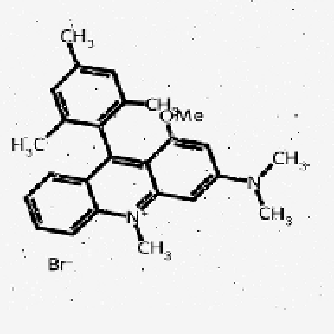 COc1cc(N(C)C)cc2c1c(-c1c(C)cc(C)cc1C)c1ccccc1[n+]2C.[Br-]